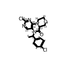 CC(c1ccc(Cl)cc1)N1C(=O)C2COCCN2c2nc(Cl)ncc21